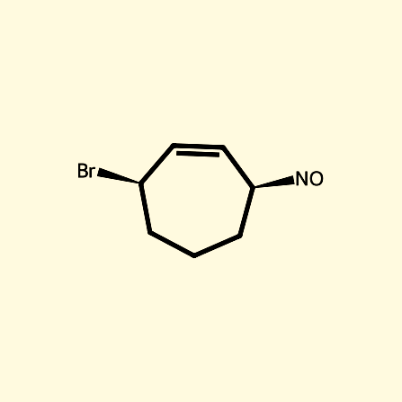 O=N[C@@H]1C=C[C@H](Br)CCC1